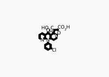 O=C(O)C1ON2CCc3c(c(=O)c4cccnc4n3-c3cccc(Cl)c3)[C@@H]2[C@H]1C(=O)O